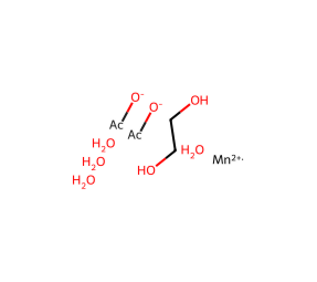 CC(=O)[O-].CC(=O)[O-].O.O.O.O.OCCO.[Mn+2]